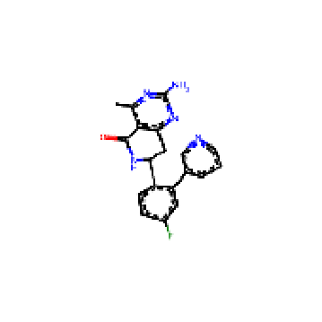 Cc1nc(N)nc2c1C(=O)NC(c1ccc(F)cc1-c1cccnc1)C2